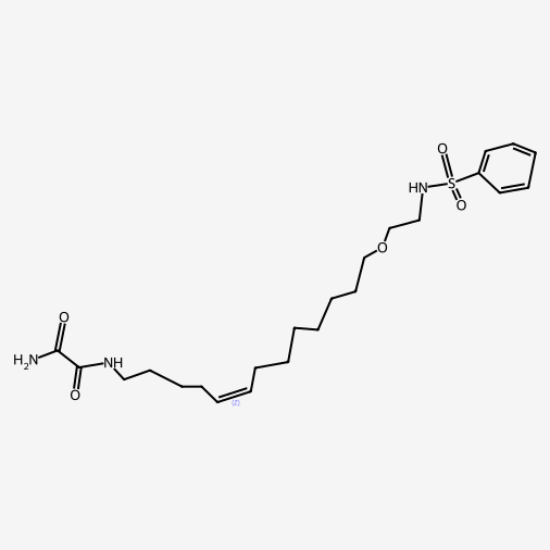 NC(=O)C(=O)NCCCC/C=C\CCCCCCCOCCNS(=O)(=O)c1ccccc1